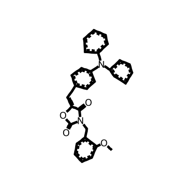 COc1ccccc1CN1C(=O)O/C(=C/c2ccc(N(c3ccccc3)c3ccccc3)cc2)C1=O